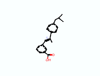 C/C(=C\c1cccc(C(=O)O)c1)c1ccc(CC(C)C)cc1